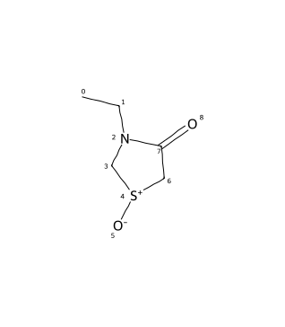 CCN1C[S+]([O-])CC1=O